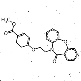 COC(=O)C1=CC=C(OCCN2C(=O)c3ccncc3Oc3ccccc32)CC1